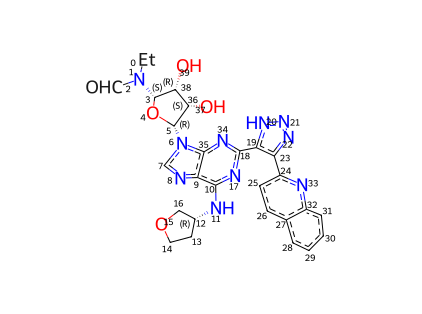 CCN(C=O)[C@H]1O[C@@H](n2cnc3c(N[C@@H]4CCOC4)nc(-c4[nH]nnc4-c4ccc5ccccc5n4)nc32)[C@@H](O)[C@H]1O